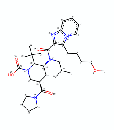 COCCCCc1c(C(=O)N(CC(C)C)[C@H]2C[C@@H](C(=O)N3CCCC3)CN(C(=O)O)C2C(C)(C)C)nc2ccccn12